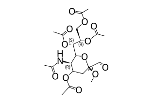 CO[C@@]1(C=O)CC(OC(C)=O)[C@@H](NC(C)=O)C([C@H](OC(C)=O)[C@@H](COC(C)=O)OC(C)=O)O1